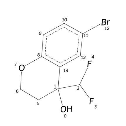 OC1(C(F)F)CCOc2ccc(Br)cc21